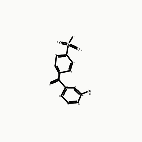 C=C(c1ccc(S(C)(=O)=O)cc1)c1cccc(Br)c1